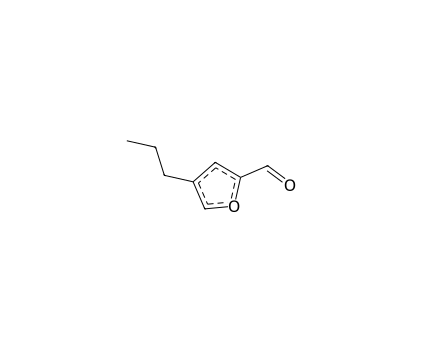 CCCc1coc(C=O)c1